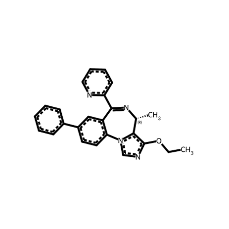 CCOc1ncn2c1[C@@H](C)N=C(c1ccccn1)c1cc(-c3ccccc3)ccc1-2